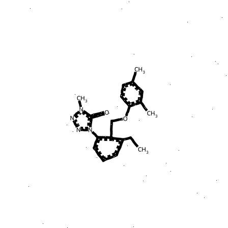 CCc1cccc(-n2nnn(C)c2=O)c1COc1ccc(C)cc1C